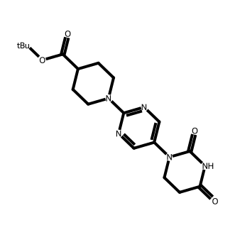 CC(C)(C)OC(=O)C1CCN(c2ncc(N3CCC(=O)NC3=O)cn2)CC1